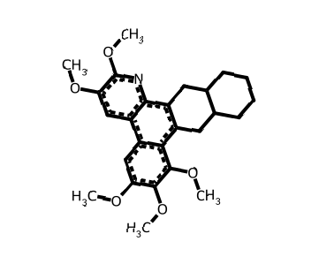 COc1cc2c(nc1OC)c1c(c3c(OC)c(OC)c(OC)cc32)CC2CCCCC2C1